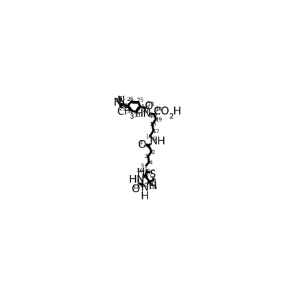 O=C(CCCC[C@@H]1SC[C@@H]2NC(=O)N[C@@H]21)NCCCC[C@H](NC(=O)c1ccc(C2(C(F)(F)F)N=N2)cc1)C(=O)O